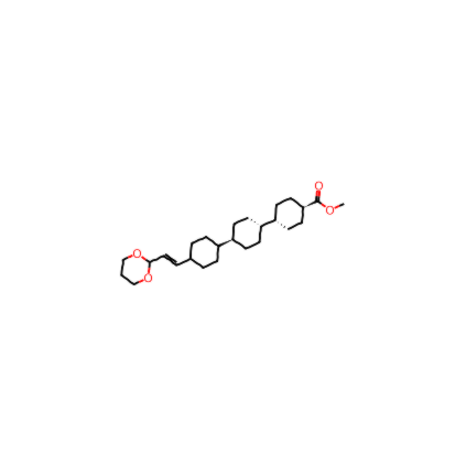 COC(=O)[C@H]1CC[C@H]([C@H]2CC[C@H](C3CCC(C=CC4OCCCO4)CC3)CC2)CC1